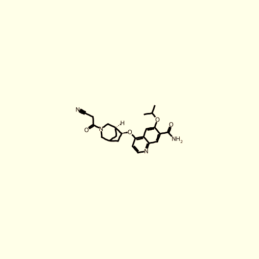 CC(C)Oc1cc2c(O[C@H]3CC4C[C@H]3CN(C(=O)CC#N)C4)ccnc2cc1C(N)=O